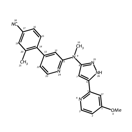 COc1ccnc(-c2cc(N(C)c3cc(-c4ccc(C#N)cc4C)ccn3)n[nH]2)c1